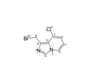 Clc1cccn2cnc(CBr)c12